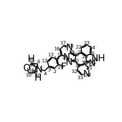 Fc1cc(CN2C[C@H]3C[C@@H]2CO3)ccc1-c1ccnc2c(-c3cccc4[nH]ncc34)c(-c3ccncc3)nn12